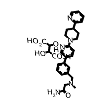 CN(CC(N)=O)Cc1cccc(-c2ccc(N3CCC(c4ccccn4)CC3)nc2)c1.O=C(O)C(O)C(O)C(=O)O